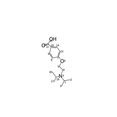 CC(C)N(CCOc1ccc(C(=O)O)cc1)C(C)C